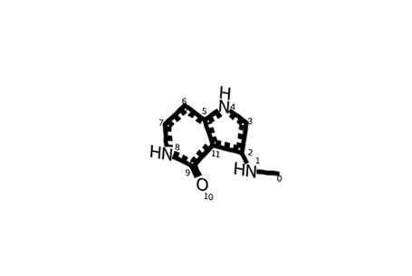 CNc1c[nH]c2cc[nH]c(=O)c12